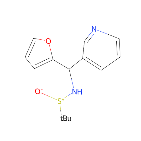 CC(C)(C)[S+]([O-])NC(c1cccnc1)c1ccco1